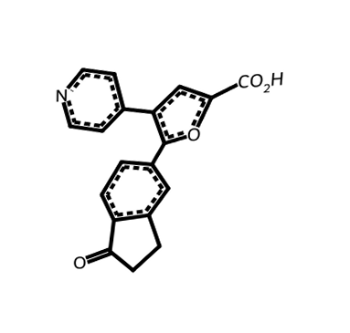 O=C(O)c1cc(-c2ccncc2)c(-c2ccc3c(c2)CCC3=O)o1